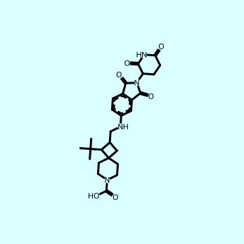 CC(C)(C)C1C(CNc2ccc3c(c2)C(=O)N(C2CCC(=O)NC2=O)C3=O)CC12CCN(C(=O)O)CC2